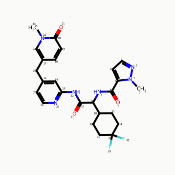 Cn1nccc1C(=O)NC(C(=O)Nc1cc(Cc2ccc(=O)n(C)c2)ccn1)C1CCC(F)(F)CC1